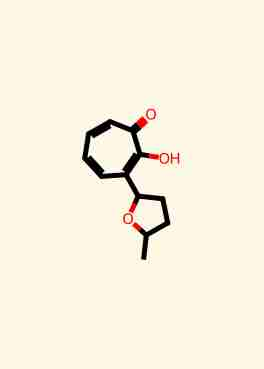 CC1CCC(c2ccccc(=O)c2O)O1